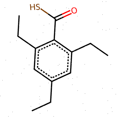 CCc1cc(CC)c(C(=O)S)c(CC)c1